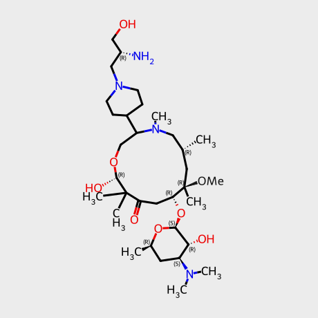 CO[C@]1(C)C[C@@H](C)CN(C)C(C2CCN(C[C@@H](N)CO)CC2)CO[C@@H](O)C(C)(C)C(=O)C[C@H]1O[C@@H]1O[C@H](C)C[C@H](N(C)C)[C@H]1O